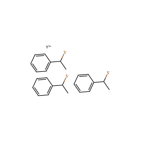 CC([S-])c1ccccc1.CC([S-])c1ccccc1.CC([S-])c1ccccc1.[Y+3]